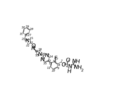 N=C(N)NC(=O)OCc1cccc(-c2cnc(N3CC(=NOC4CN(Cc5ccccc5)C4)C3)nc2)c1F